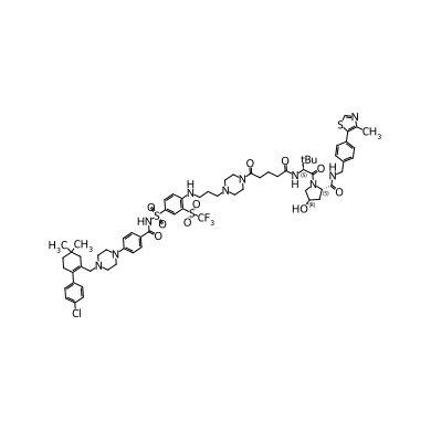 Cc1ncsc1-c1ccc(CNC(=O)[C@@H]2C[C@@H](O)CN2C(=O)[C@@H](NC(=O)CCCC(=O)N2CCN(CCCNc3ccc(S(=O)(=O)NC(=O)c4ccc(N5CCN(CC6=C(c7ccc(Cl)cc7)CCC(C)(C)C6)CC5)cc4)cc3S(=O)(=O)C(F)(F)F)CC2)C(C)(C)C)cc1